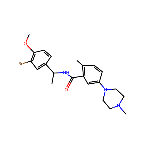 COc1ccc(C(C)NC(=O)c2cc(N3CCN(C)CC3)ccc2C)cc1Br